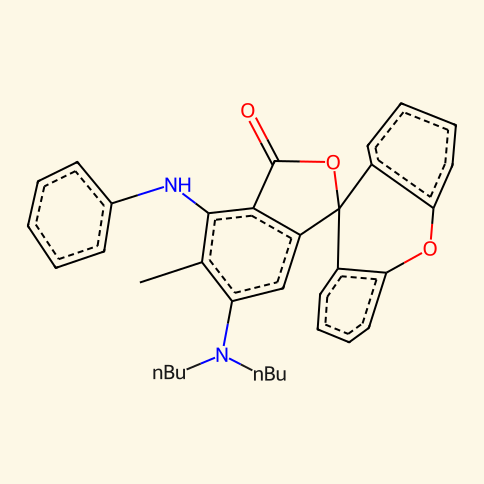 CCCCN(CCCC)c1cc2c(c(Nc3ccccc3)c1C)C(=O)OC21c2ccccc2Oc2ccccc21